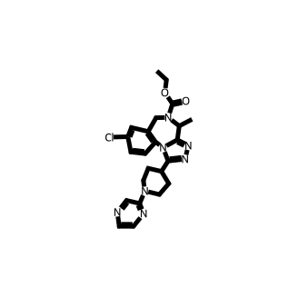 CCOC(=O)N1Cc2cc(Cl)ccc2-n2c(C3CCN(c4cnccn4)CC3)nnc2C1C